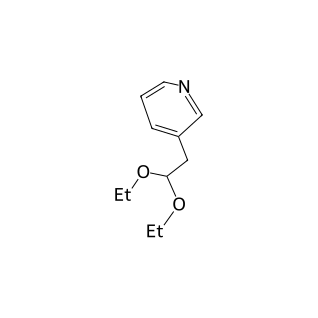 CCOC(Cc1cccnc1)OCC